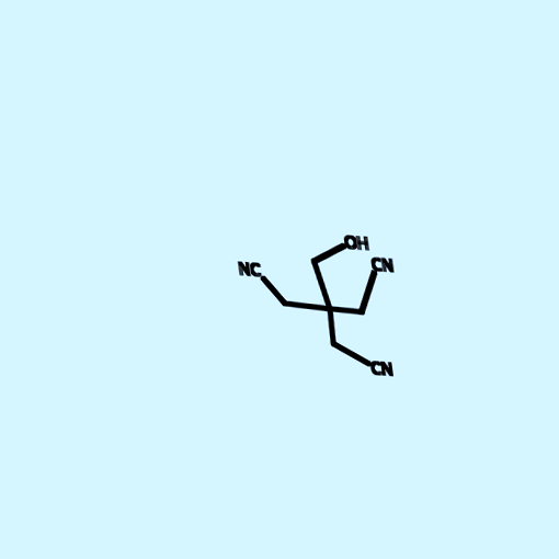 N#CCC(CO)(CC#N)CC#N